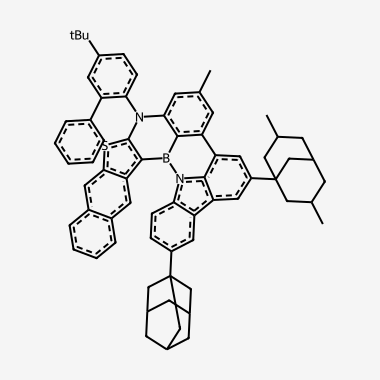 Cc1cc2c3c(c1)N(c1ccc(C(C)(C)C)cc1-c1ccccc1)c1sc4cc5ccccc5cc4c1B3n1c3ccc(C45CC6CC(CC(C6)C4)C5)cc3c3cc(C45CC(C)CC(CC(C)C4)C5)cc-2c31